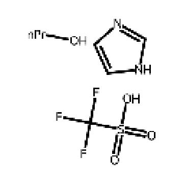 CCCO.O=S(=O)(O)C(F)(F)F.c1c[nH]cn1